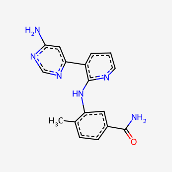 Cc1ccc(C(N)=O)cc1Nc1ncccc1-c1cc(N)ncn1